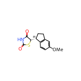 COc1ccc2c(c1)CC[C@H]2C1SC(=O)NC1=O